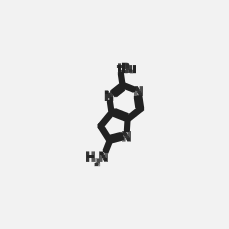 CC(C)(C)c1ncc2c(n1)CC(N)=N2